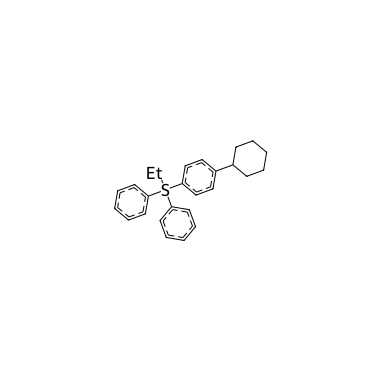 CCS(c1ccccc1)(c1ccccc1)c1ccc(C2CCCCC2)cc1